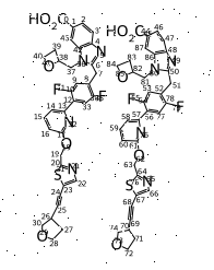 O=C(O)c1ccc2nc(Cc3cc(F)c(-c4cccc(OCc5ncc(C#CC6CCOC6)s5)n4)cc3F)n(CC3CCO3)c2c1.O=C(O)c1ccc2nc(Cc3cc(F)c(-c4cccc(OCc5ncc(C#CC6CCOC6)s5)n4)cc3F)n(CC3CCO3)c2c1